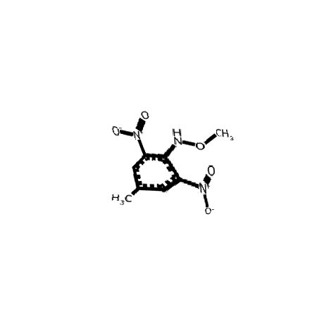 CONc1c([N+](=O)[O-])cc(C)cc1[N+](=O)[O-]